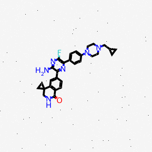 Nc1nc(F)c(-c2ccc(N3CCN(CC4CC4)CC3)cc2)nc1-c1ccc2c(c1)C1(CC1)CNC2=O